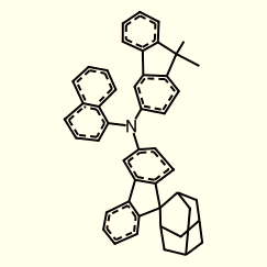 CC1(C)c2ccccc2-c2cc(N(c3ccc4c(c3)-c3ccccc3C43C4CC5CC(C4)CC3C5)c3cccc4ccccc34)ccc21